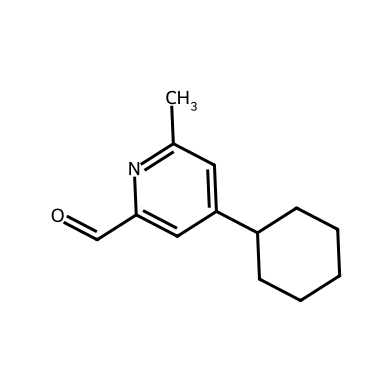 Cc1cc(C2CCCCC2)cc(C=O)n1